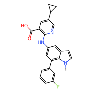 Cn1ccc2cc(Nc3ncc(C4CC4)cc3C(=O)O)cc(-c3cccc(F)c3)c21